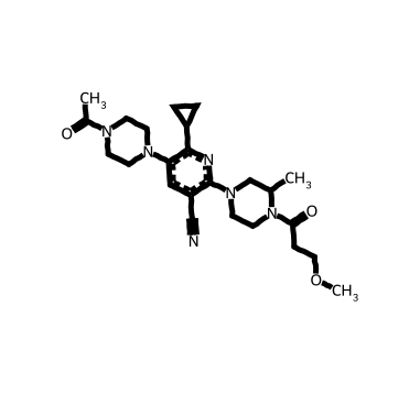 COCCC(=O)N1CCN(c2nc(C3CC3)c(N3CCN(C(C)=O)CC3)cc2C#N)CC1C